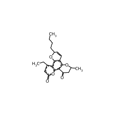 CCCCC1C=Cc2c3c(c4oc(=O)cc(CC)c4c2O1)C(=O)CC(C)O3